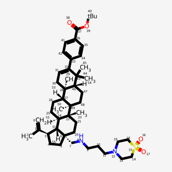 C=C(C)[C@@H]1CC[C@]2(CNCCCN3CCS(=O)(=O)CC3)CC[C@]3(C)[C@H](CC[C@@H]4[C@@]5(C)CC=C(c6ccc(C(=O)OC(C)(C)C)cc6)C(C)(C)[C@@H]5CC[C@]43C)[C@@H]12